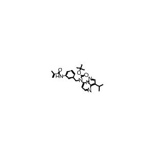 C=C(C)C(=O)Nc1cccc(CN(C(=O)OC(C)(C)C)c2ccnc3c(C(C)C)cnn23)c1